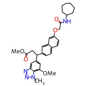 COC(=O)CC(c1ccc2ccc(OCC(=O)NC3CCCCCC3)cc2c1)c1cc(OC)c2c(c1)nnn2C